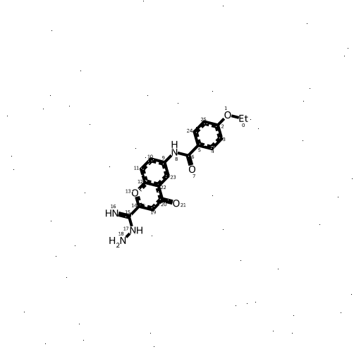 CCOc1ccc(C(=O)Nc2ccc3oc(C(=N)NN)cc(=O)c3c2)cc1